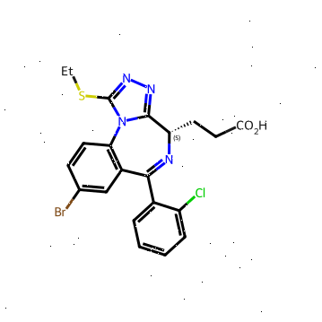 CCSc1nnc2n1-c1ccc(Br)cc1C(c1ccccc1Cl)=N[C@H]2CCC(=O)O